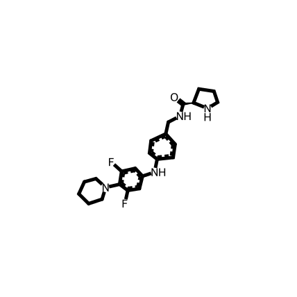 O=C(NCc1ccc(Nc2cc(F)c(N3CCCCC3)c(F)c2)cc1)[C@H]1CCCN1